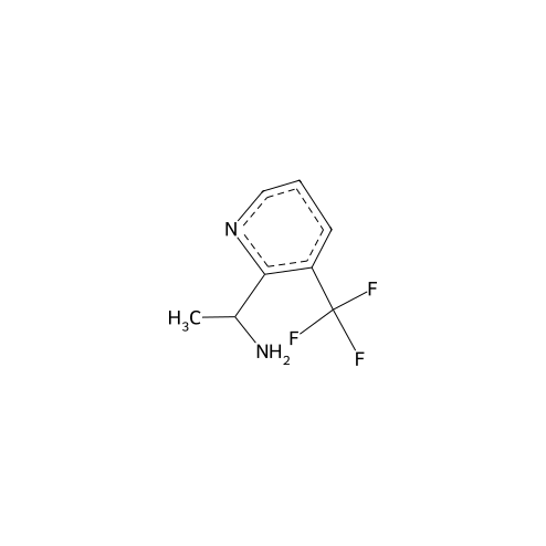 CC(N)c1ncccc1C(F)(F)F